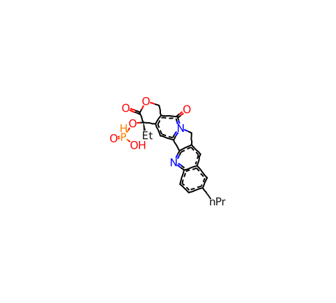 CCCc1ccc2nc3c(cc2c1)Cn1c-3cc2c(c1=O)COC(=O)[C@@]2(CC)O[PH](=O)O